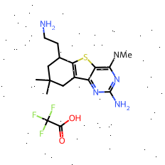 CNc1nc(N)nc2c3c(sc12)C(CCN)CC(C)(C)C3.O=C(O)C(F)(F)F